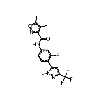 Cc1onc(C(=O)Nc2ccc(-c3cc(C(F)(F)F)nn3C)c(F)c2)c1C